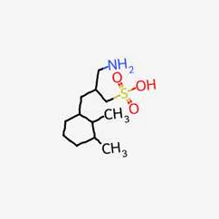 CC1CCCC(CC(CN)CS(=O)(=O)O)C1C